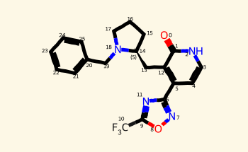 O=c1[nH]ccc(-c2noc(C(F)(F)F)n2)c1C[C@@H]1CCCN1Cc1ccccc1